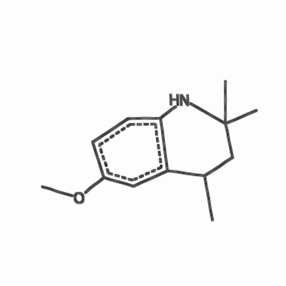 COc1ccc2c(c1)C(C)CC(C)(C)N2